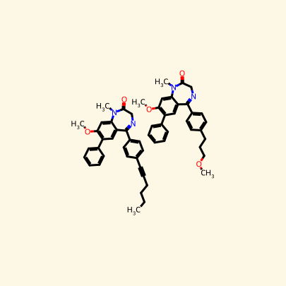 CCCCC#Cc1ccc(C2=NCC(=O)N(C)c3cc(OC)c(-c4ccccc4)cc32)cc1.COCCCc1ccc(C2=NCC(=O)N(C)c3cc(OC)c(-c4ccccc4)cc32)cc1